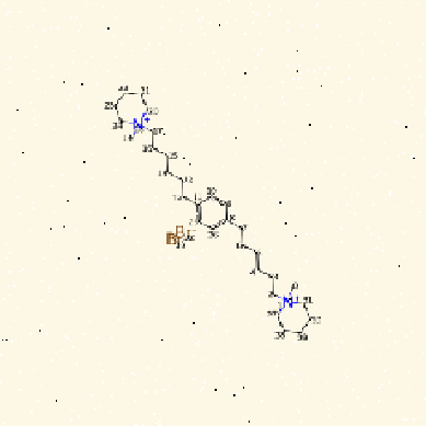 C[N+]1(CCCCCCc2ccc(CCCCCC[N+]3(C)CCCCC3)cc2)CCCCC1.[Br-].[Br-]